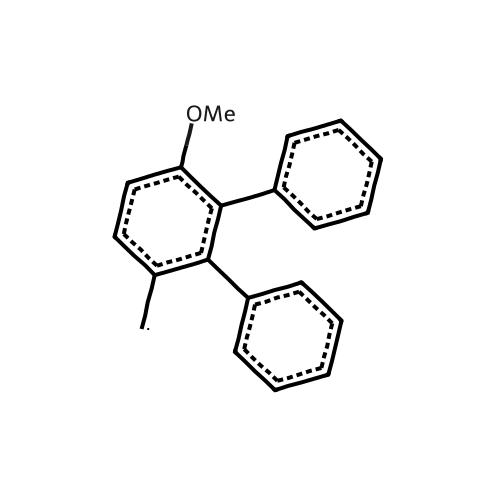 [CH2]c1ccc(OC)c(-c2ccccc2)c1-c1ccccc1